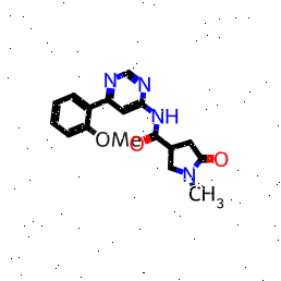 COc1ccccc1-c1cc(NC(=O)C2CC(=O)N(C)C2)ncn1